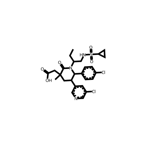 CCC(CNS(=O)(=O)C1CC1)N1C(=O)C(C)(CC(=O)O)CC(c2cncc(Cl)c2)C1c1ccc(Cl)cc1